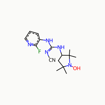 CC1(C)CC(NC(=NC#N)Nc2cccnc2F)C(C)(C)N1O